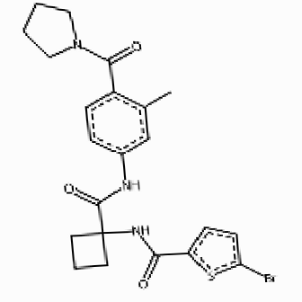 Cc1cc(NC(=O)C2(NC(=O)c3ccc(Br)s3)CCC2)ccc1C(=O)N1CCCC1